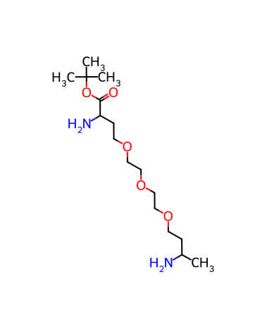 CC(N)CCOCCOCCOCCC(N)C(=O)OC(C)(C)C